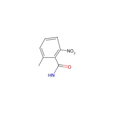 Cc1cccc([N+](=O)[O-])c1C([NH])=O